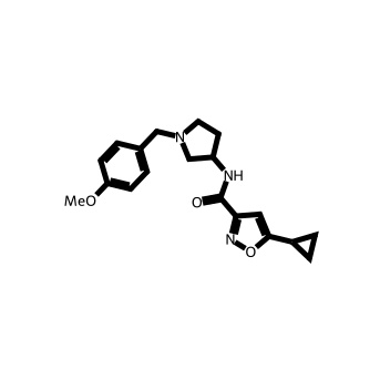 COc1ccc(CN2CCC(NC(=O)c3cc(C4CC4)on3)C2)cc1